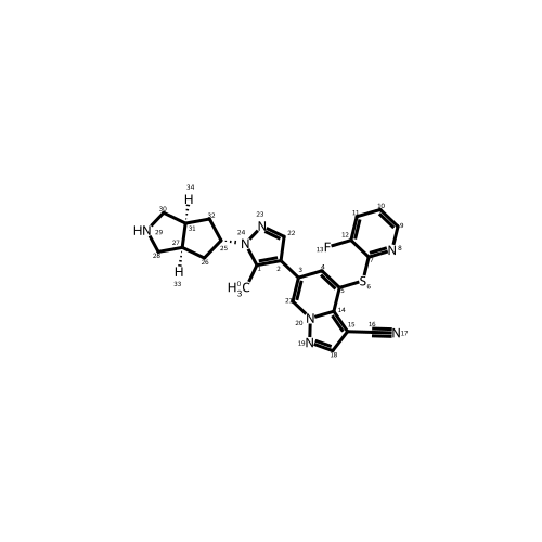 Cc1c(-c2cc(Sc3ncccc3F)c3c(C#N)cnn3c2)cnn1[C@@H]1C[C@H]2CNC[C@H]2C1